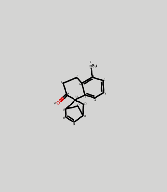 CCCCc1cccc2c1CCC(=O)C21CC2C=CC1C2